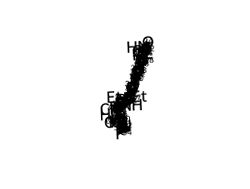 CCOc1cc(N2CCC(N3CC4(CCN(c5cc(F)c([C@H]6CCC(=O)NC6=O)c(F)c5)CC4)C3)CC2)c(CC)cc1Nc1ncc(Cl)c(Nc2ccc3nc(C)c(F)cc3c2P(C)(C)=O)n1